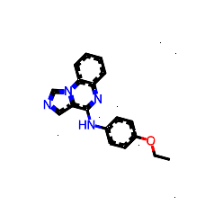 CCOc1ccc(Nc2nc3ccccc3n3cncc23)cc1